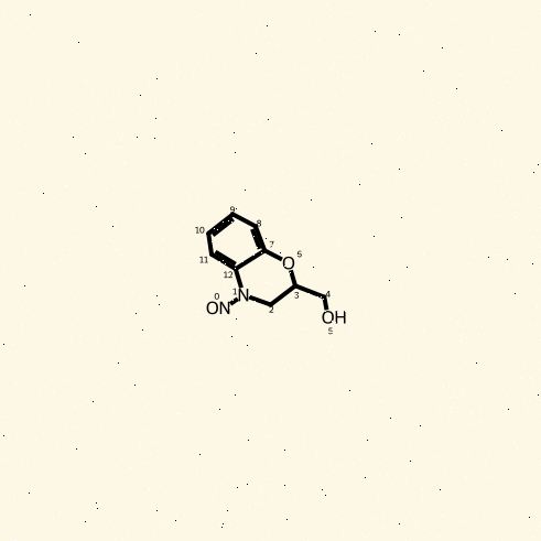 O=NN1CC(CO)Oc2ccccc21